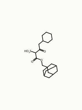 O=C(CC1CCCCC1)C(C(=O)OCC12CC3CC(CC(C3)C1)C2)S(=O)(=O)O